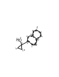 OC1(c2ccc3ccccc3c2)CC1